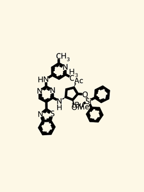 CO[C@@H]1C(O[Si](c2ccccc2)(c2ccccc2)C(C)(C)C)[C@@H](C(C)=O)C[C@H]1Nc1nc(Nc2cc(C)nc(C)c2)ncc1-c1nc2ccccc2s1